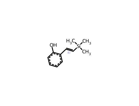 C[Si](C)(C)/C=C/c1ccccc1O